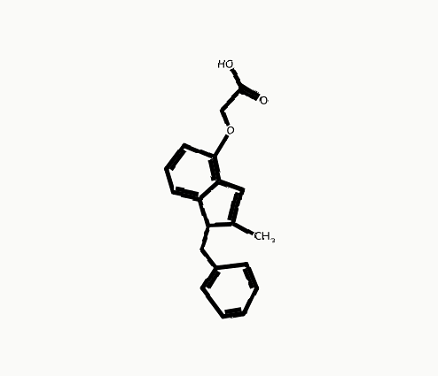 CC1=Cc2c(OCC(=O)O)cccc2C1Cc1ccccc1